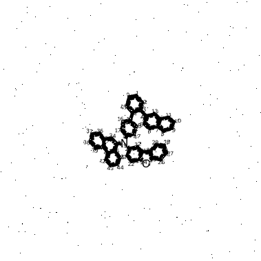 c1ccc(-c2ccc3ccccc3c2)c(-c2ccc(N(c3ccc4oc5ccccc5c4c3)c3cc4ccccc4c4ccccc34)cc2)c1